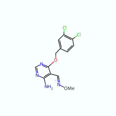 CO/N=C/c1c(N)ncnc1OCc1ccc(Cl)c(Cl)c1